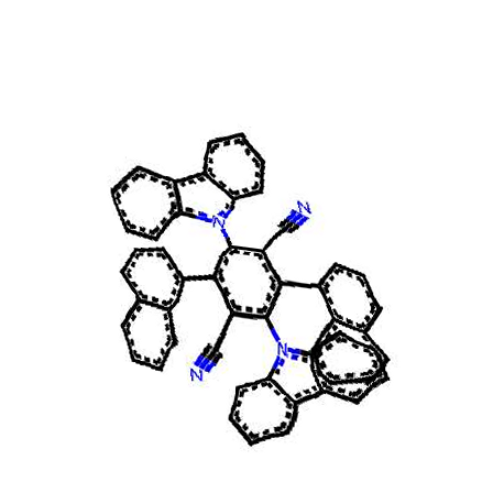 N#Cc1c(-c2cccc3ccccc23)c(-n2c3ccccc3c3ccccc32)c(C#N)c(-c2cccc3ccccc23)c1-n1c2ccccc2c2ccccc21